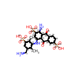 Cc1c(CN)cc(S(=O)(=O)O)c(C)c1Nc1cc(S(=O)(=O)O)c(N)c2c1C(=O)c1cc(S(=O)(=O)O)ccc1C2=O